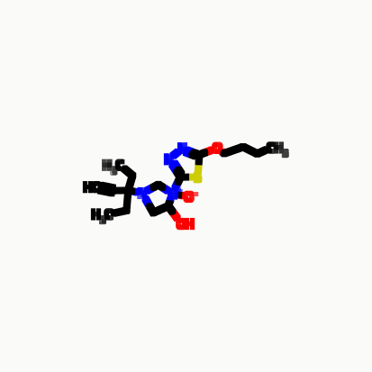 C#CC(CC)(CC)N1CC(O)[N+]([O-])(c2nnc(OCCCC)s2)C1